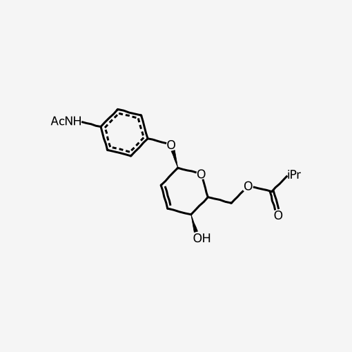 CC(=O)Nc1ccc(O[C@@H]2C=C[C@H](O)C(COC(=O)C(C)C)O2)cc1